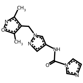 Cc1noc(C)c1Cn1cc(NC(=O)n2ccnc2)cn1